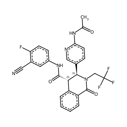 CC(=O)Nc1ccc([C@@H]2[C@@H](C(=O)Nc3ccc(F)c(C#N)c3)c3ccccc3C(=O)N2CC(F)(F)F)cn1